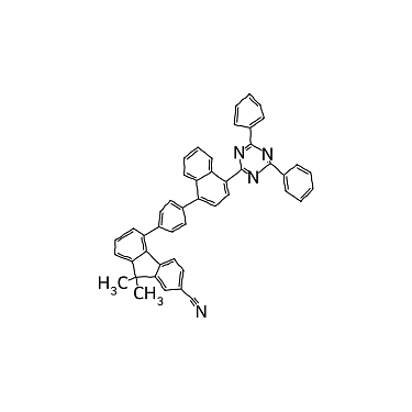 CC1(C)c2cc(C#N)ccc2-c2c(-c3ccc(-c4ccc(-c5nc(-c6ccccc6)nc(-c6ccccc6)n5)c5ccccc45)cc3)cccc21